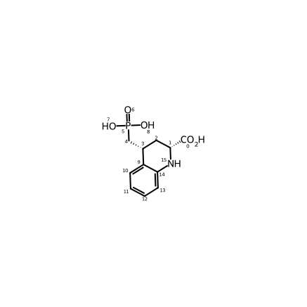 O=C(O)[C@H]1C[C@@H](CP(=O)(O)O)c2ccccc2N1